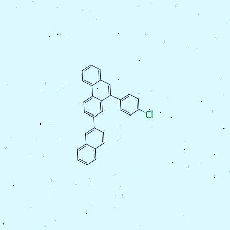 Clc1ccc(-c2cc3ccccc3c3ccc(-c4ccc5ccccc5c4)cc23)cc1